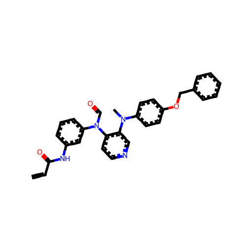 C=CC(=O)Nc1cccc(N(C=O)c2ccncc2N(C)c2ccc(OCc3ccccc3)cc2)c1